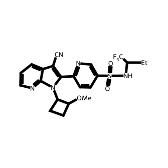 CCC(NS(=O)(=O)c1ccc(-c2c(C#N)c3cccnc3n2C2CCC2OC)nc1)C(F)(F)F